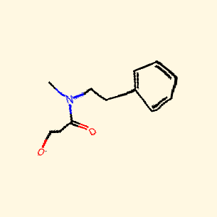 CN(CCc1ccccc1)C(=O)C[O]